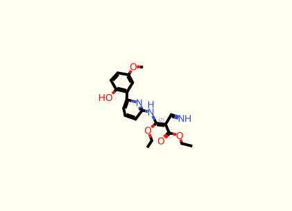 CCOC(=O)/C(C=N)=C(/Nc1cccc(-c2cc(OC)ccc2O)n1)OCC